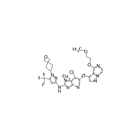 COCCOc1nccn2ncc(Oc3cnc4nc(Nc5cc(C(F)(F)F)n(C6CC7(COC7)C6)n5)n(C)c4c3Cl)c12